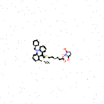 CCCCS/C(SCCCCCC(=O)ON1C(=O)CCC1=O)=C1/c2ccccc2N(Cc2ccccc2)C2=CC=CC(C)C21